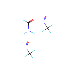 O=C(F)N(F)F.O=NC(F)(F)F.O=NC(F)(F)F